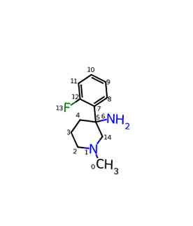 CN1CCCC(N)(c2ccccc2F)C1